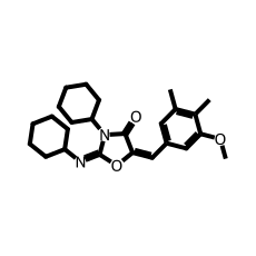 COc1cc(/C=C2/O/C(=N/C3CCCCC3)N(C3CCCCC3)C2=O)cc(C)c1C